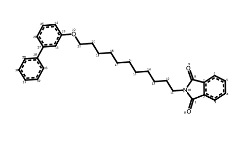 O=C1c2ccccc2C(=O)N1CCCCCCCCCCCOc1cccc(-c2ccccc2)c1